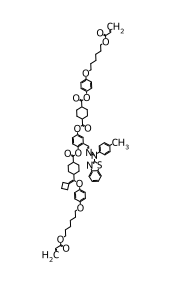 C=CC(=O)OCCCCCCOc1ccc(OC(=O)C2CCC(C(=O)Oc3ccc(OC(=O)C4CCC(C(Oc5ccc(OCCCCCCOC(=O)C=C)cc5)=C5CCC5)CC4)c(/C=N/N(c4ccc(C)cc4)c4nc5ccccc5s4)c3)CC2)cc1